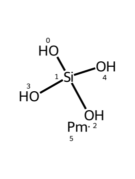 O[Si](O)(O)O.[Pm]